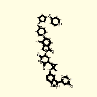 CC1(Oc2ccc3n[nH]c(-c4cc(Cl)ncn4)c3c2)CC1C1CC(N2Cc3c(ccc(N4CCC(O[C@H]5CC[C@H](OC6CCNCC6)C5)CC4)c3F)C2=O)C(=O)NC1=O